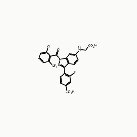 O=C(O)CNc1ccc2c(-c3ccc(C(=O)O)cc3F)nn(C(=O)c3c(Cl)cccc3C(F)(F)F)c2c1